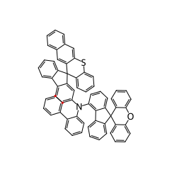 c1ccc(-c2ccccc2N(c2ccc3c(c2)C2(c4ccccc4Sc4cc5ccccc5cc42)c2ccccc2-3)c2cccc3c2-c2ccccc2C32c3ccccc3Oc3ccccc32)cc1